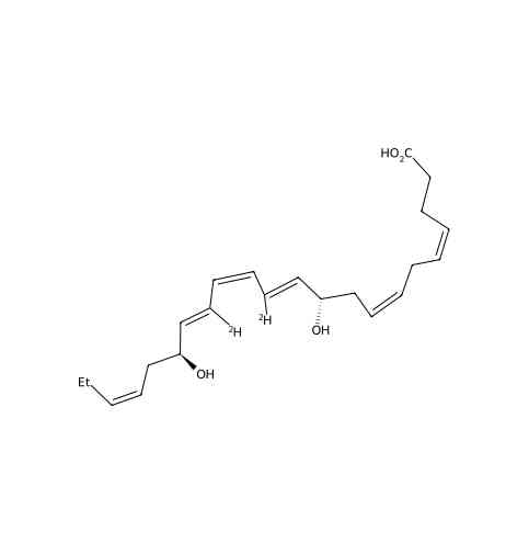 [2H]C(/C=C\C([2H])=C\[C@@H](O)C/C=C\C/C=C\CCC(=O)O)=C\[C@@H](O)C/C=C\CC